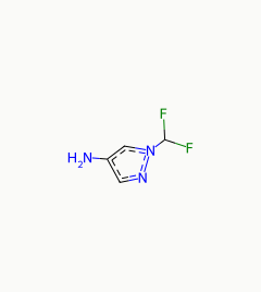 Nc1cnn(C(F)F)c1